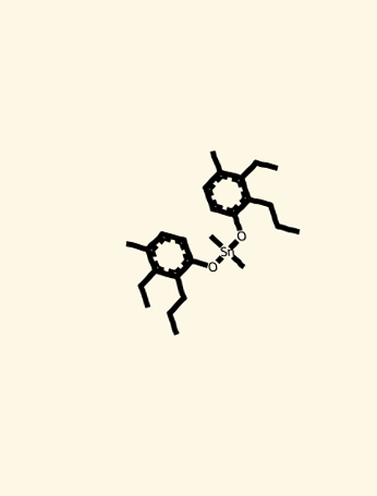 CCCc1c([O][Sn]([CH3])([CH3])[O]c2ccc(C)c(CC)c2CCC)ccc(C)c1CC